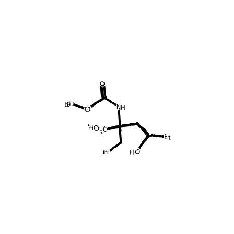 CCC(O)CC(CC(C)C)(NC(=O)OC(C)(C)C)C(=O)O